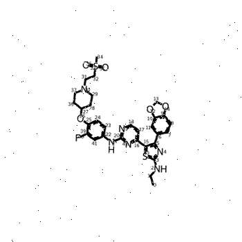 CCNc1nc(-c2ccc3c(c2)OCO3)c(-c2ccnc(Nc3ccc(OC4CCN(CCS(C)(=O)=O)CC4)c(F)c3)n2)s1